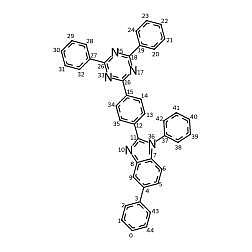 c1ccc(-c2ccc3c(c2)nc(-c2ccc(-c4nc(-c5ccccc5)nc(-c5ccccc5)n4)cc2)n3-c2ccccc2)cc1